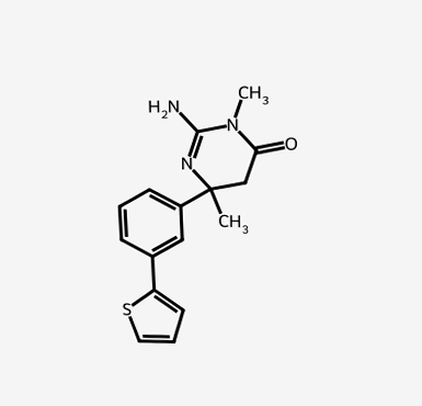 CN1C(=O)CC(C)(c2cccc(-c3cccs3)c2)N=C1N